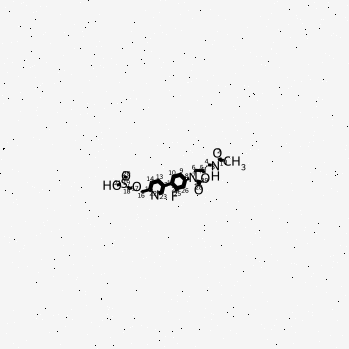 CC(=O)NC[C@H]1CN(c2ccc(-c3ccc(COCS(=O)O)nc3)c(F)c2)C(=O)O1